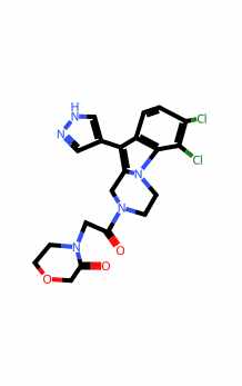 O=C1COCCN1CC(=O)N1CCn2c(c(-c3cn[nH]c3)c3ccc(Cl)c(Cl)c32)C1